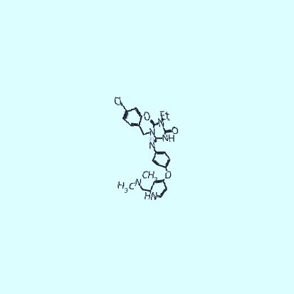 CCn1c(=O)[nH]/c(=N\c2ccc(OC3=CC(CN(C)C)NC=C3)cc2)n(Cc2ccc(Cl)cc2)c1=O